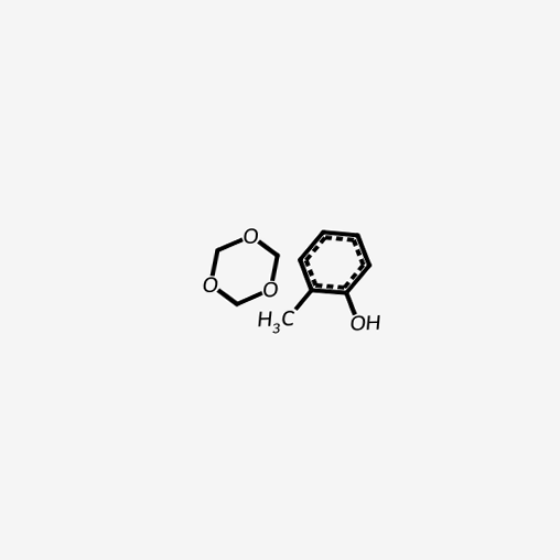 C1OCOCO1.Cc1ccccc1O